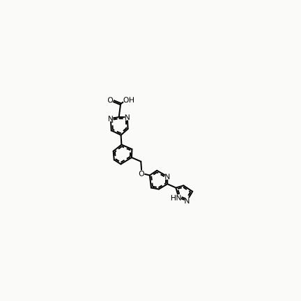 O=C(O)c1ncc(-c2cccc(COc3ccc(-c4ccn[nH]4)nc3)c2)cn1